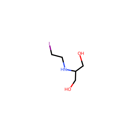 OCC(CO)NCCI